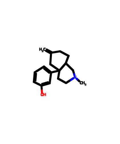 C=C1CCC2CN(C)CCC2(c2cccc(O)c2)C1